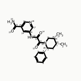 C[C@@H]1C[C@H](c2ccccc2)N(C(=O)C(=O)Nc2cncc(C(N)=O)c2)C[C@@H]1C